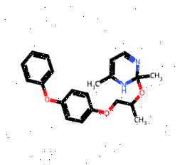 CC1=CC=NC(C)(OC(C)COc2ccc(Oc3ccccc3)cc2)N1